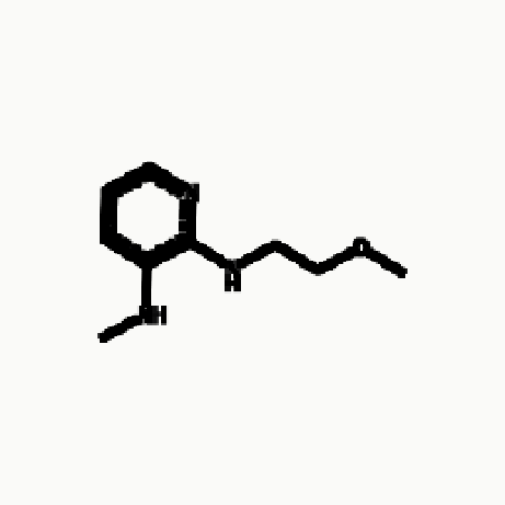 CNc1cccnc1NCCOC